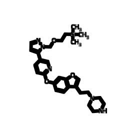 C[Si](C)(C)CCOCn1nccc1-c1ccc(Oc2ccc3c(CCN4CCNCC4)coc3c2)nc1